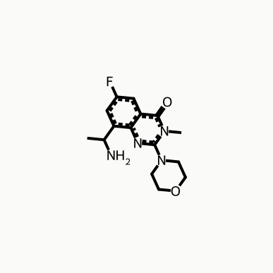 CC(N)c1cc(F)cc2c(=O)n(C)c(N3CCOCC3)nc12